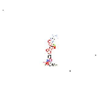 COCP(=O)(N[C@H](C)C(=O)OC(C)C)Oc1ccc(COC(=O)OC[C@H]2O[C@@H](n3ccc(N)nc3=O)C(F)(F)[C@@H]2O)cc1